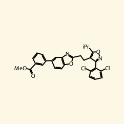 COC(=O)c1cccc(-c2ccc3oc(CCc4c(-c5c(Cl)cccc5Cl)noc4C(C)C)nc3c2)c1